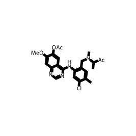 COc1cc2ncnc(Nc3cc(Cl)c(C)cc3CN(C)C(C)C(C)=O)c2cc1OC(C)=O